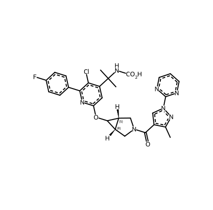 Cc1nn(-c2ncccn2)cc1C(=O)N1C[C@@H]2C(Oc3cc(C(C)(C)NC(=O)O)c(Cl)c(-c4ccc(F)cc4)n3)[C@@H]2C1